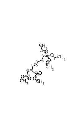 CCO[Si](CCCSCC(CC(=O)OC)C(=O)OC)(OCC)OCC